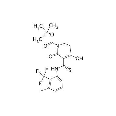 CC(C)(C)OC(=O)N1CCC(O)=C(C(=S)Nc2cccc(F)c2C(F)(F)F)C1=O